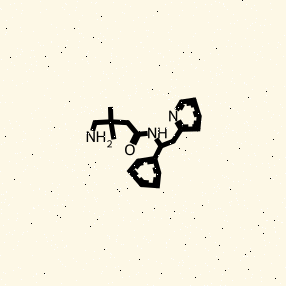 CC(C)(CN)CC(=O)NC(Cc1ccccn1)c1ccccc1